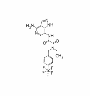 CCN(Cc1ccc(S(F)(F)(F)(F)F)cc1)C(=O)C(=O)Nc1cnc(N)c2cn[nH]c12